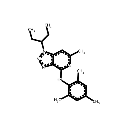 CCC(CC)n1nnc2c(Nc3c(C)cc(C)cc3C)nc(C)cc21